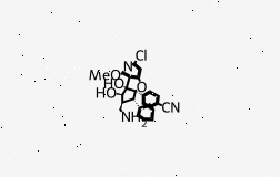 COc1nc(Cl)cc2c1[C@]1(O)[C@H](O)[C@H](CN)[C@@H](c3ccccc3)[C@]1(c1ccc(C#N)cc1)O2